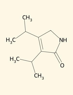 CC(C)C1=C(C(C)C)C(=O)NC1